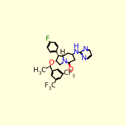 C[C@@H](O[C@H]1CN2C(=O)CC(Nc3ncccn3)C[C@H]2[C@@H]1c1ccc(F)cc1)c1cc(C(F)(F)F)cc(C(F)(F)F)c1